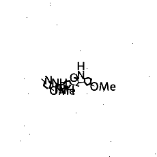 COc1ccc2c(c1)[C@]1(C[C@H]1c1ccc3c(Nc4nc(C)ccc4OC)n[nH]c3c1)C(=O)N2